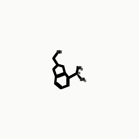 C[C@@H](N)c1cccc2c1CC(CO)C2